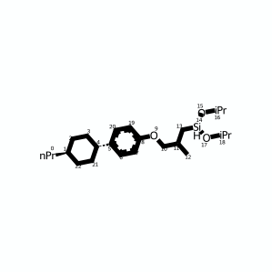 CCC[C@H]1CC[C@H](c2ccc(OCC(C)C[SiH](OC(C)C)OC(C)C)cc2)CC1